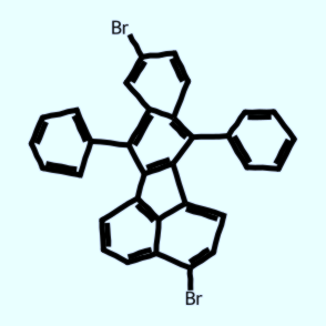 Brc1ccc2c(-c3ccccc3)c3c(c(-c4ccccc4)c2c1)-c1cccc2c(Br)ccc-3c12